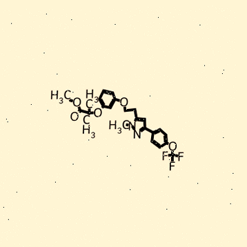 CCOC(=O)C(C)(C)Oc1cccc(OCCc2cc(-c3ccc(OC(F)(F)F)cc3)nn2C)c1